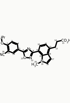 CC(C)Oc1ccc(-c2nc(-c3ccc(CCC(=O)O)c4ccn(C)c34)no2)cc1C#N